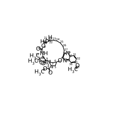 COC(=O)[C@@H]1CC2CN1C(=O)[C@H](C(C)(C)C)NC(=O)O[C@@H]1C[C@H]1CCCCCc1nc3ccc(OC)cc3nc1O2